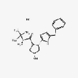 CC(C)(C)[C@H](N)C(=O)N1C[C@H](O)C[C@H]1c1ncc(Cc2ccccc2)[nH]1.Cl